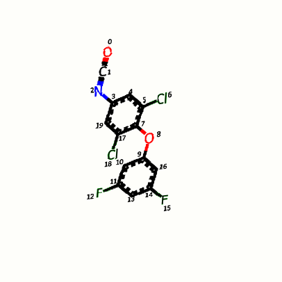 O=C=Nc1cc(Cl)c(Oc2cc(F)cc(F)c2)c(Cl)c1